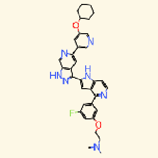 CN(C)CCOc1cc(F)cc(-c2nccc3[nH]c(-c4n[nH]c5cnc(-c6cncc(OC7CCCCC7)c6)cc45)cc23)c1